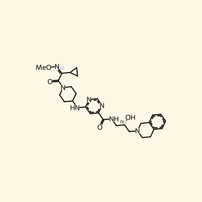 CO/N=C(\C(=O)N1CCC(Nc2cc(C(=O)NC[C@H](O)CN3CCc4ccccc4C3)ncn2)CC1)C1CC1